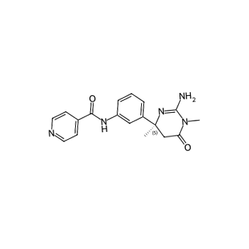 CN1C(=O)C[C@@](C)(c2cccc(NC(=O)c3ccncc3)c2)N=C1N